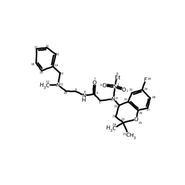 CCS(=O)(=O)N(CC(=O)NCCN(C)Cc1ccccc1)C1CC(C)(C)Oc2ccc(F)cc21